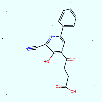 N#Cc1nc(-c2ccccc2)cc(C(=O)CCC(=O)O)c1O